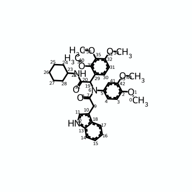 COc1ccc(N(C(=O)Cc2c[nH]c3ccccc23)C(C(=O)NC2CCCCC2)c2ccc(OC)c(OC)c2OC)cc1OC